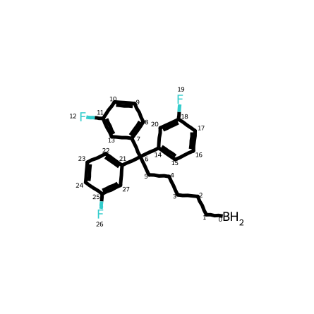 BCCCCCC(c1cccc(F)c1)(c1cccc(F)c1)c1cccc(F)c1